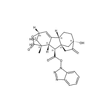 C=C1C[C@]23C[C@@]1(O)CC[C@H]2C1=C[C@H]2OC(=O)[C@@](C)([C@H]1[C@@H]3C(=O)On1nnc3ccccc31)[C@H]2O